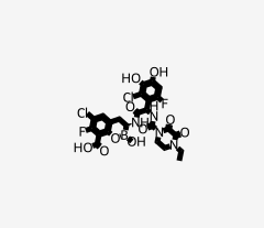 CCN1CCN(C(=O)NC(C(=O)N[C@H]2Cc3cc(Cl)c(F)c(C(=O)O)c3OB2O)c2c(F)cc(O)c(O)c2Cl)C(=O)C1=O